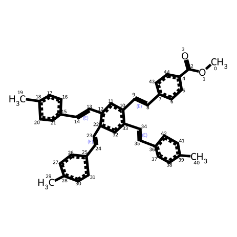 COC(=O)c1ccc(/C=C/c2cc(/C=C/c3ccc(C)cc3)c(/C=C/c3ccc(C)cc3)cc2/C=C/c2ccc(C)cc2)cc1